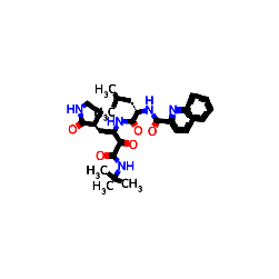 CC(C)C[C@H](NC(=O)c1ccc2ccccc2n1)C(=O)NC(C[C@@H]1CCNC1=O)C(=O)C(=O)NC(C)(C)C